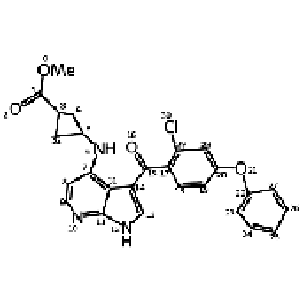 COC(=O)C1CC(Nc2ccnc3[nH]cc(C(=O)c4ccc(Oc5ccccc5)cc4Cl)c23)C1